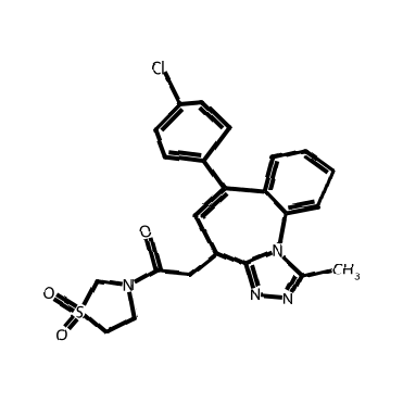 Cc1nnc2n1-c1ccccc1C(c1ccc(Cl)cc1)=CC2CC(=O)N1CCS(=O)(=O)C1